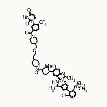 COc1cc2nc(C)nc(N[C@H](C)c3cc(-c4c(Cl)cccc4CN(C)C)cs3)c2cc1C1CCC(C(=O)N2CCC(CCOCC3CCN(C(=O)c4ccc(C(F)(F)F)c(-n5ccc(=O)[nH]c5=O)c4)CC3)CC2)CC1